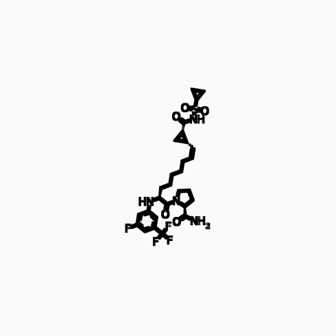 NC(=O)[C@@H]1CCCN1C(=O)[C@H](CCCCC/C=C\[C@@H]1C[C@@H]1C(=O)NS(=O)(=O)C1CC1)Nc1cc(F)cc(C(F)(F)F)c1